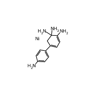 NC1=CC=C(c2ccc(N)cc2)CC1(N)N.[Ni]